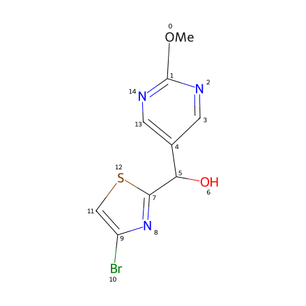 COc1ncc(C(O)c2nc(Br)cs2)cn1